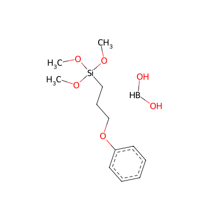 CO[Si](CCCOc1ccccc1)(OC)OC.OBO